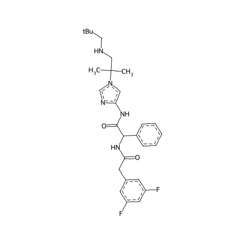 CC(C)(C)CNCC(C)(C)n1cnc(NC(=O)C(NC(=O)Cc2cc(F)cc(F)c2)c2ccccc2)c1